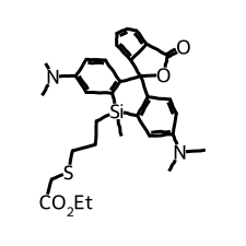 CCOC(=O)CSCCC[Si]1(C)c2cc(N(C)C)ccc2C2(OC(=O)c3ccccc32)c2ccc(N(C)C)cc21